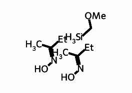 CCC(C)=NO.CCC(C)=NO.COC[SiH3]